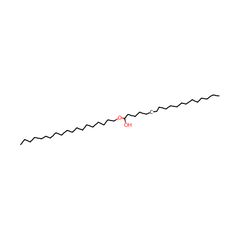 CCCCCCCCCCCCCCCCCCCOC(O)CCCCCCCCCCCCCCCCCC